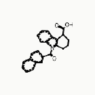 O=C(O)C1CCCc2c1c1ccccc1n2C(=O)c1ccc2ccccc2c1